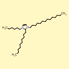 CCCCCCCCCCCCCCN1C=CN(CCCCCC)C1CCCCCCCCCC